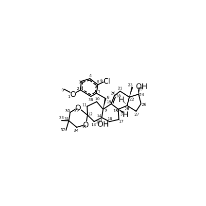 COc1ccc(Cl)c(C[C@]23CCC4(C[C@]2(O)CC[C@@H]2C3=CC[C@]3(C)[C@@H](O)CC[C@@H]23)OCC(C)(C)CO4)c1